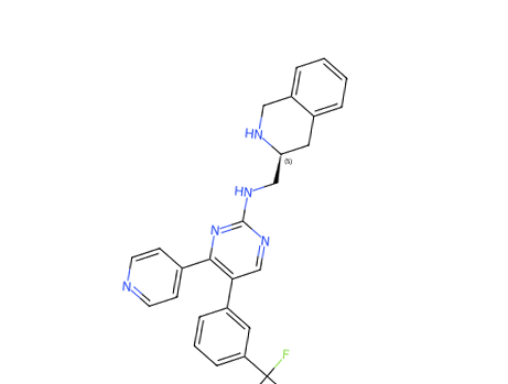 FC(F)(F)c1cccc(-c2cnc(NC[C@@H]3Cc4ccccc4CN3)nc2-c2ccncc2)c1